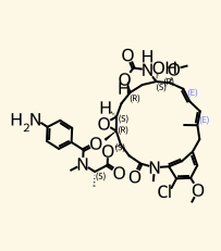 COc1cc2cc(c1Cl)N(C)C(=O)C[C@H](OC(=O)[C@H](C)N(C)C(=O)c1ccc(N)cc1)[C@]1(C)O[C@H]1C[C@@H]1C[C@@](O)(NC(=O)O1)[C@H](OC)/C=C/C=C(\C)C2